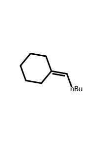 [CH2]CCCC=C1CCCCC1